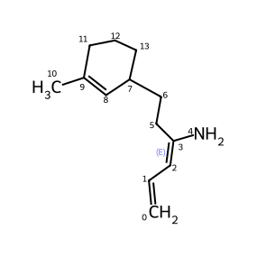 C=C/C=C(/N)CCC1C=C(C)CCC1